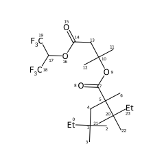 CCC(C)(C)CC(C)(C(=O)OC(C)(C)CC(=O)OC(C(F)(F)F)C(F)(F)F)C(C)(C)CC